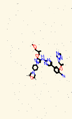 COCC(C)COc1nn(C2CCC(N3C[C@@H](C)O[C@@H](C)C3)CC2)cc1Nc1ncc(-c2ccc(C#N)c(OC(C)Cn3cncn3)c2)cn1